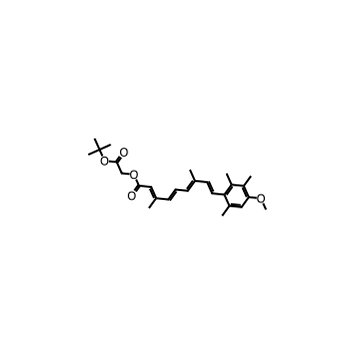 COc1cc(C)c(C=CC(C)=CC=CC(C)=CC(=O)OCC(=O)OC(C)(C)C)c(C)c1C